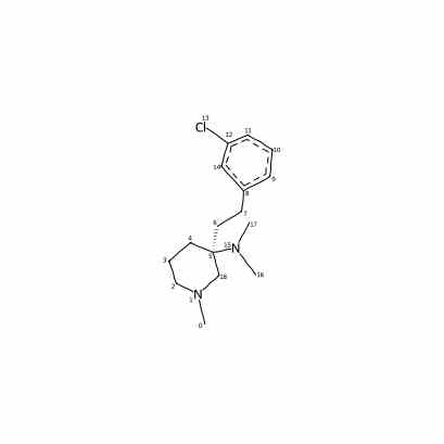 CN1CCC[C@@](CCc2cccc(Cl)c2)(N(C)C)C1